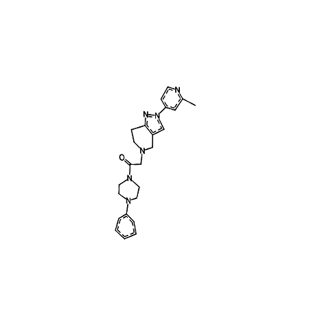 Cc1cc(-n2cc3c(n2)CCN(CC(=O)N2CCN(c4ccccc4)CC2)C3)ccn1